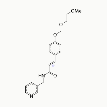 COCCOCOc1ccc(/C=C/C(=O)NCc2cccnc2)cc1